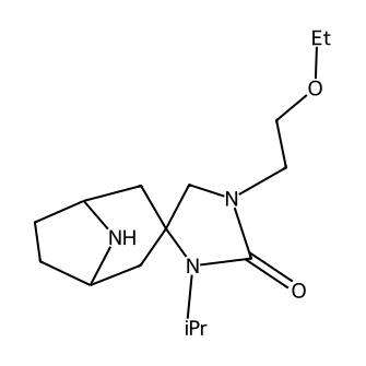 CCOCCN1CC2(CC3CCC(C2)N3)N(C(C)C)C1=O